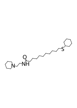 O=C(CCCCCCCCCCSC1CCCCC1)NCCN1CCCCC1